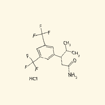 CC(C)C(CC(N)=O)c1cc(C(F)(F)F)cc(C(F)(F)F)c1.Cl